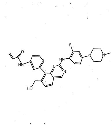 C=CC(=O)Nc1cccc(-c2c(CO)ccc3cnc(Nc4ccc(N5CCN(C)CC5)cc4F)nc23)c1